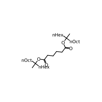 CCCCCCCCC(C)(CCCCCC)OC(=O)CCCCC(=O)OC(C)(CCCCCC)CCCCCCCC